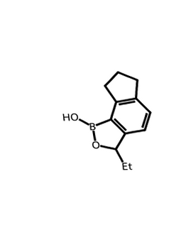 CCC1OB(O)c2c1ccc1c2CCC1